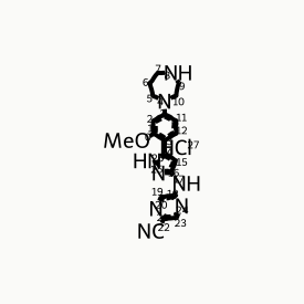 COc1cc(N2CCCNCC2)ccc1-c1cc(Nc2cnc(C#N)cn2)n[nH]1.Cl